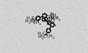 CCC1=Cc2c(-c3ccc([Si](C)(C)C)cc3)cccc2[CH]1[Zr]([Cl])([Cl])([CH]1C(C2CCCC2)=Cc2c(-c3ccc(C(C)(C)C)cc3)cccc21)[SiH](C)C